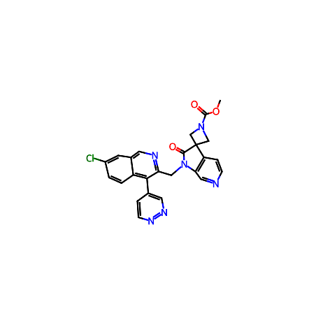 COC(=O)N1CC2(C1)C(=O)N(Cc1ncc3cc(Cl)ccc3c1-c1ccnnc1)c1cnccc12